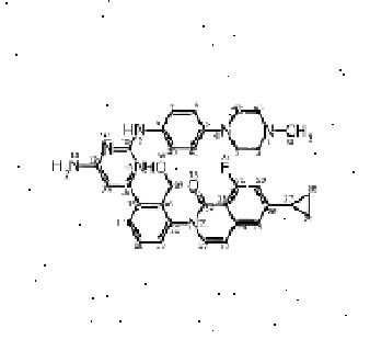 CN1CCN(c2ccc(Nc3nc(N)cc(-c4cccc(-n5ccc6cc(C7CC7)cc(F)c6c5=O)c4CO)n3)cc2)CC1